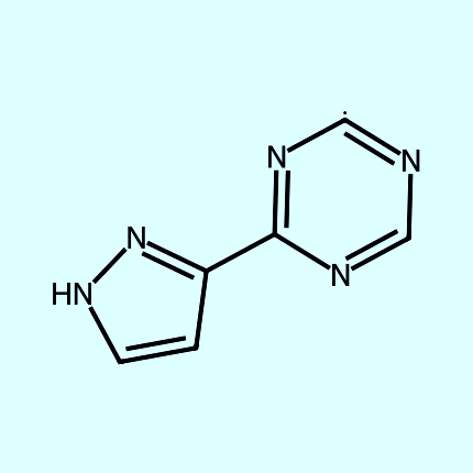 [c]1ncnc(-c2cc[nH]n2)n1